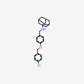 Clc1ccc(COc2ccc(CNC34CC5CC(CC(C5)C3)C4)cc2)cc1